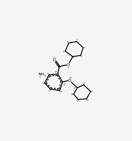 N.O=C(OC1CCCCC1)c1ccccc1OC1CCCCC1